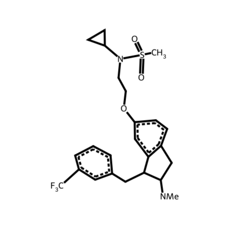 CNC1Cc2ccc(OCCN(C3CC3)S(C)(=O)=O)cc2C1Cc1cccc(C(F)(F)F)c1